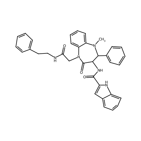 CN1c2ccccc2N(CC(=O)NCCc2ccccc2)C(=O)C(NC(=O)c2cc3ccccc3[nH]2)C1c1ccccc1